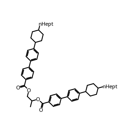 CCCCCCCC1CCC(c2ccc(-c3ccc(C(=O)OCC(C)OC(=O)c4ccc(-c5ccc(C6CCC(CCCCCCC)CC6)cc5)cc4)cc3)cc2)CC1